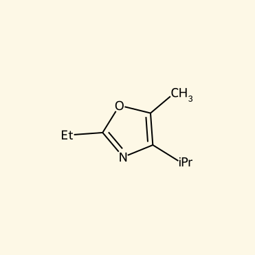 CCc1nc(C(C)C)c(C)o1